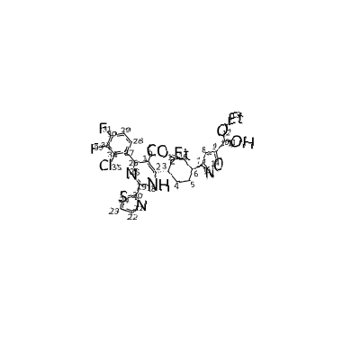 CCOC(=O)C1=C([C@H]2CC[C@H](c3cc(C(O)OCC)on3)CC2)NC(c2nccs2)=NC1c1ccc(F)c(F)c1Cl